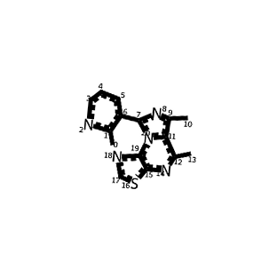 Cc1ncccc1-c1nc(C)c2c(C)nc3scnc3n12